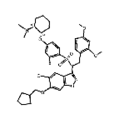 COc1ccc(CN(c2noc3cc(OCC4CCCC4)c(Cl)cc23)S(=O)(=O)c2ccc(O[C@H]3CCCC[C@@H]3N(C)C)cc2F)c(OC)c1